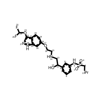 CC(C)CS(=O)(=O)Nc1cccc(C(O)CNCCOc2ccc3c(OC(F)F)n[nH]c3c2)c1